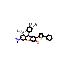 CN(C)c1ccc2c(-c3ccc(C(=O)O)cc3C(=O)O)c3cc(-c4ccc(-c5ccccc5)s4)c(=O)cc-3oc2c1